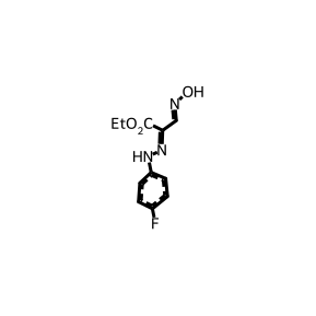 CCOC(=O)C(/C=N/O)=N\Nc1ccc(F)cc1